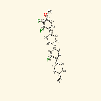 C=CC1CCC(c2ccc(C3CC=C(c4ccc(OCC)c(F)c4F)CC3)cc2F)CC1